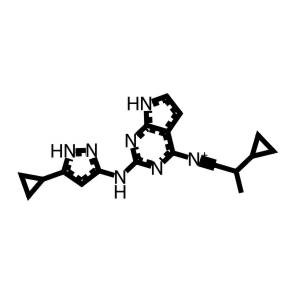 CC(C#[N+]c1nc(Nc2cc(C3CC3)[nH]n2)nc2[nH]ccc12)C1CC1